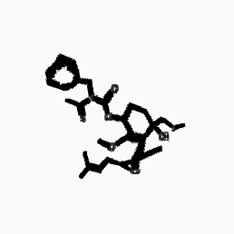 COC1C(OC(=O)N(Cc2ccccc2)C(C)=S)CCC(O)(CSC)C1C1(C)OC1CC=C(C)C